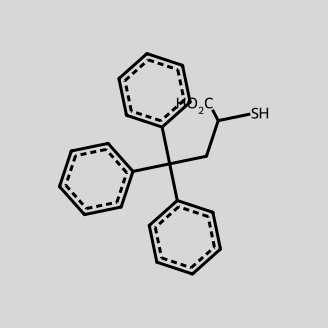 O=C(O)C(S)CC(c1ccccc1)(c1ccccc1)c1ccccc1